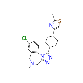 Cc1nc(C2CCC(c3nnc4n3-c3ccc(Cl)cc3CN(C)C4)CC2)cs1